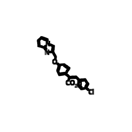 O=C(O)C(=Cc1ccc(Cl)cc1)c1ccc(OCc2cn3ccccc3n2)cc1